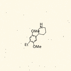 CCc1cc(OC)c(C2CCCNC2)cc1OC